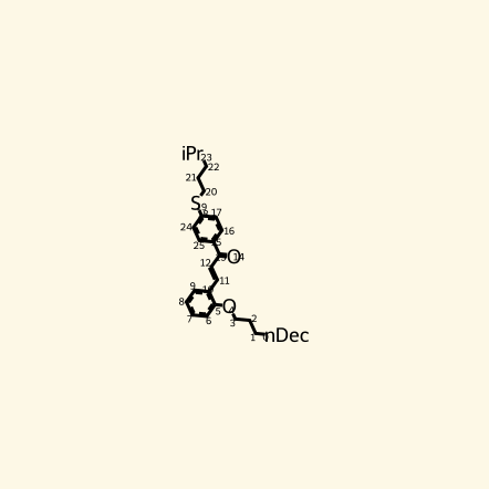 CCCCCCCCCCCCCOc1ccccc1C=CC(=O)c1ccc(SCCCC(C)C)cc1